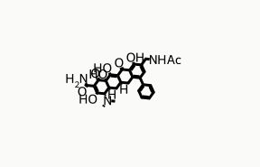 CC(=O)NCc1cc(-c2ccccc2)c2c(c1O)C(=O)C1=C(O)[C@]3(O)C(=O)C(C(N)=O)=C(O)[C@H](N(C)C)[C@@H]3C[C@H]1C2